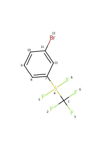 FC(F)(F)S(F)(F)c1cccc(Br)c1